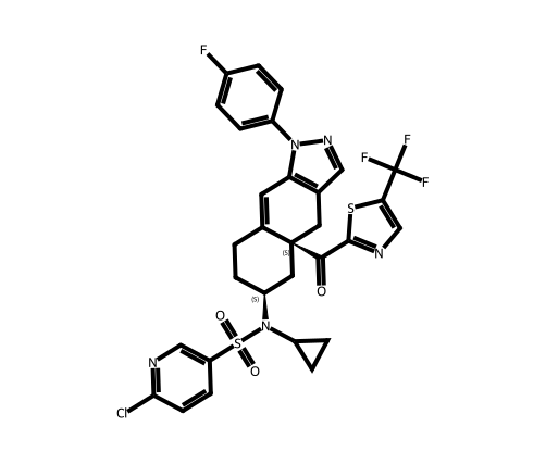 O=C(c1ncc(C(F)(F)F)s1)[C@]12Cc3cnn(-c4ccc(F)cc4)c3C=C1CC[C@H](N(C1CC1)S(=O)(=O)c1ccc(Cl)nc1)C2